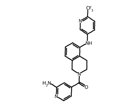 Nc1cc(C(=O)N2CCc3c(cccc3Nc3ccc(C(F)(F)F)nc3)C2)ccn1